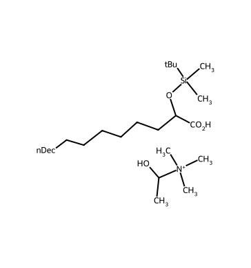 CC(O)[N+](C)(C)C.CCCCCCCCCCCCCCCCC(O[Si](C)(C)C(C)(C)C)C(=O)O